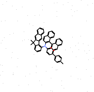 Cc1ccc(-c2ccc(N(c3cccc4c3-c3cc5ccccc5cc3C4(C)C)c3ccc4ccccc4c3-c3cccc4ccccc34)cc2)cc1